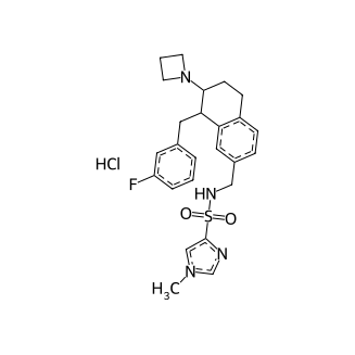 Cl.Cn1cnc(S(=O)(=O)NCc2ccc3c(c2)C(Cc2cccc(F)c2)C(N2CCC2)CC3)c1